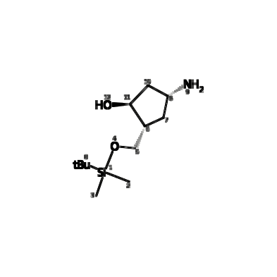 CC(C)(C)[Si](C)(C)OC[C@H]1C[C@@H](N)C[C@@H]1O